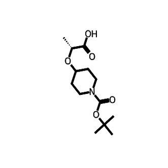 C[C@@H](OC1CCN(C(=O)OC(C)(C)C)CC1)C(=O)O